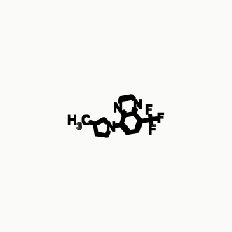 CC1CCN(c2ccc(C(F)(F)F)c3nccnc23)C1